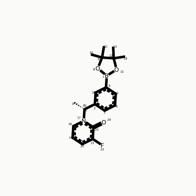 C[C@H](c1cccc(B2OC(C)(C)C(C)(C)O2)c1)n1cccc(F)c1=O